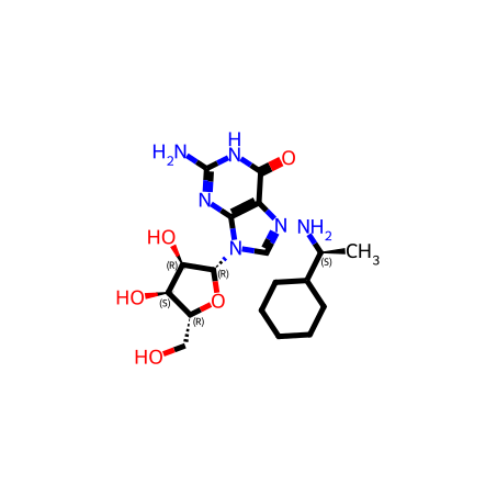 C[C@H](N)C1CCCCC1.Nc1nc2c(ncn2[C@@H]2O[C@H](CO)[C@@H](O)[C@H]2O)c(=O)[nH]1